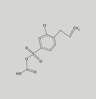 C=CCc1ccc(S(=O)(=O)OC(=O)O)cc1Cl